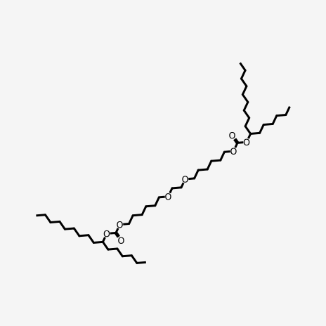 CCCCCCCCCC(CCCCCC)OC(=O)OCCCCCCOCCOCCCCCCOC(=O)OC(CCCCCC)CCCCCCCCC